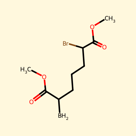 BC(CCCC(Br)C(=O)OC)C(=O)OC